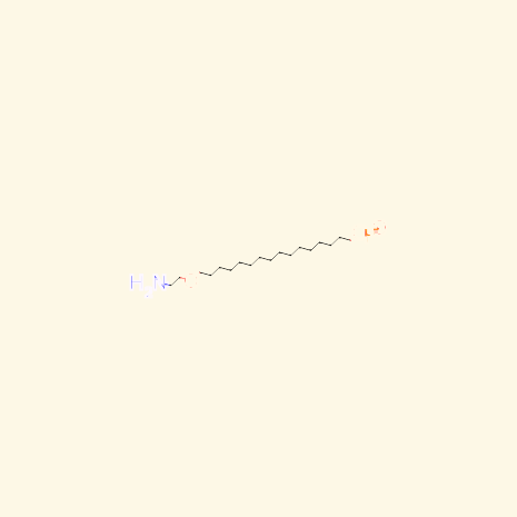 NCCOCCCCCCCCCCCCCCCCOP=O